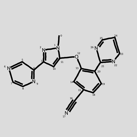 Cn1nc(-c2cnccn2)cc1Oc1cc(C#N)ccc1-c1ncccn1